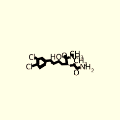 CNC(=O)[C@H](CC(C)C(N)=O)C[C@@H](O)[CH]Cc1ccc(Cl)c(Cl)c1